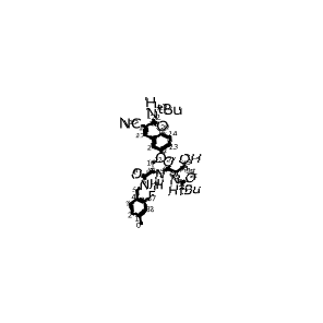 Cc1ccc(CNC(=O)[C@H](COc2cccc(C=C(C#N)C(=O)NC(C)(C)C)c2)NC(=O)[C@@H](NC(=O)C(C)(C)C)[C@@H](C)O)c(F)c1